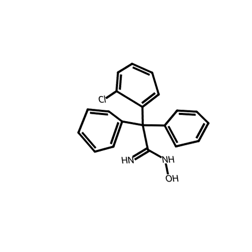 N=C(NO)C(c1ccccc1)(c1ccccc1)c1ccccc1Cl